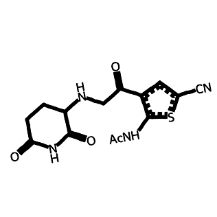 CC(=O)Nc1sc(C#N)cc1C(=O)CNC1CCC(=O)NC1=O